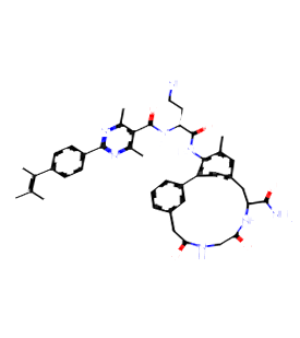 CC(C)=C(C)c1ccc(-c2nc(C)c(C(=O)N[C@@H](CCN)C(=O)Nc3c(C)cc4cc3-c3cccc(c3)CC(=O)NCC(=O)NC(C(N)=O)C4)c(C)n2)cc1